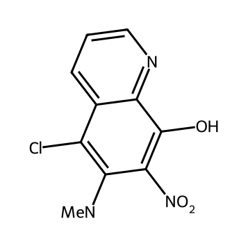 CNc1c([N+](=O)[O-])c(O)c2ncccc2c1Cl